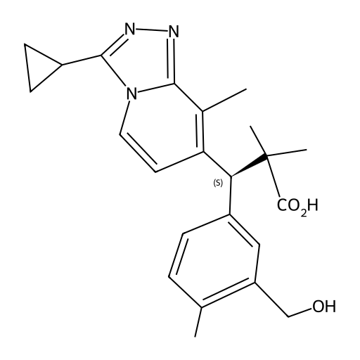 Cc1ccc([C@@H](c2ccn3c(C4CC4)nnc3c2C)C(C)(C)C(=O)O)cc1CO